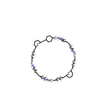 C1CC2CC(C1)C1CCC(CC1)CN1CCC(CC1)C1CCN(CC1)CC1CCC(CC1)C1CCCC(C1)C1CCC(CC1)CN1CCC(CC1)C1CCN(CC1)CC1CCC2CC1